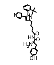 CC(C)(C)c1ccccc1-n1nc(CCCCC(=O)NC(=O)[C@@H](N)Cc2ccc(O)cc2)cc1-c1ccncc1